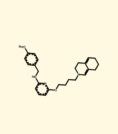 COc1ccc(CNc2cccc(OCCCCN3C=C4CCCC=C4CC3)n2)cc1